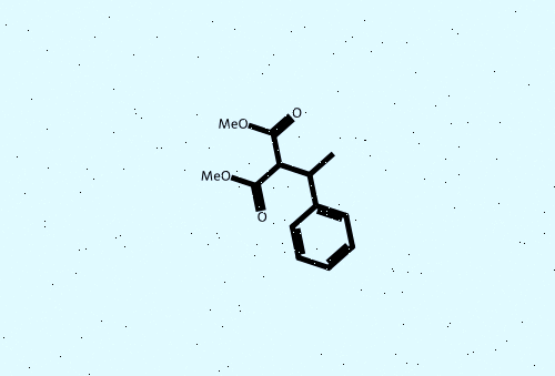 COC(=O)C(C(=O)OC)C(C)c1ccccc1